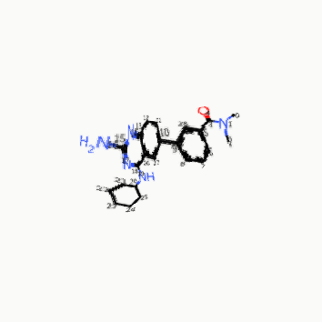 CN(C)C(=O)c1cccc(-c2ccc3nc(N)nc(NC4CCCCC4)c3c2)c1